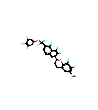 Cc1cc2c(c(F)c1F)OC(c1cc3ccc(C(F)(F)Oc4cc(F)c(F)c(F)c4)c(F)c3c(F)c1F)CC2